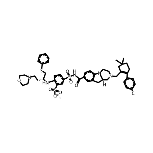 CC1(C)CCC(c2ccc(Cl)cc2)=C(CN2CCN3c4ccc(C(=O)NS(=O)(=O)c5ccc(N[C@H](CCN6CCOCC6)CSc6ccccc6)c(S(=O)(=O)C(F)(F)F)c5)cc4C[C@@H]3C2)C1